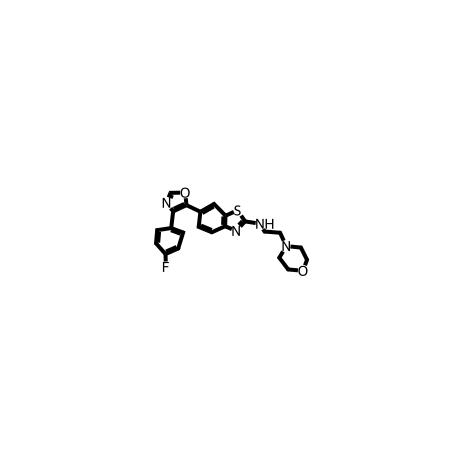 Fc1ccc(-c2ncoc2-c2ccc3nc(NCCN4CCOCC4)sc3c2)cc1